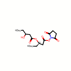 CCCCCCCCCCCC(O)CC(=O)O[C@H](CCCCCCCCCCC)CC(=O)ON1C(=O)CCC1=O